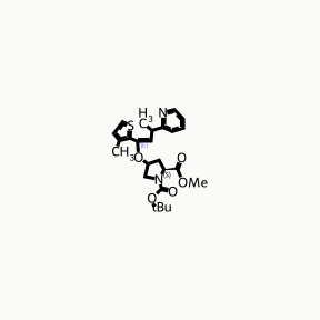 COC(=O)[C@@H]1CC(O/C(=C/C(C)c2ccccn2)c2sccc2C)CN1C(=O)OC(C)(C)C